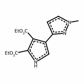 CCOC(=O)c1[nH]cc(-c2ccn(C)n2)c1C(=O)OCC